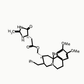 BC12C[C@@H](COC(=O)C[C@@H]3NC(=C)NC3=O)C(CC(C)C)CN1CCc1cc(OC)c(OC)cc12